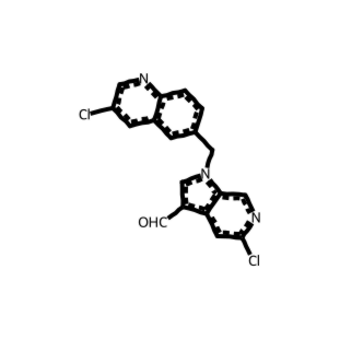 O=Cc1cn(Cc2ccc3ncc(Cl)cc3c2)c2cnc(Cl)cc12